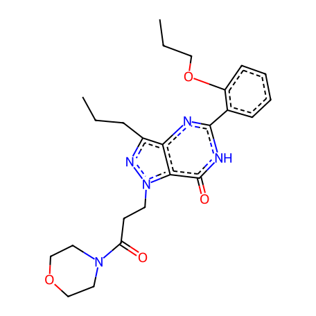 CCCOc1ccccc1-c1nc2c(CCC)nn(CCC(=O)N3CCOCC3)c2c(=O)[nH]1